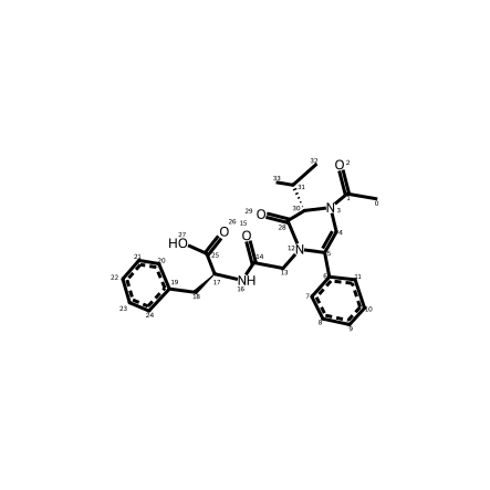 CC(=O)N1C=C(c2ccccc2)N(CC(=O)N[C@@H](Cc2ccccc2)C(=O)O)C(=O)[C@@H]1C(C)C